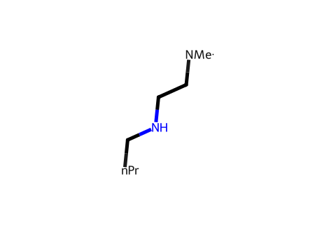 CCCCNCC[N]C